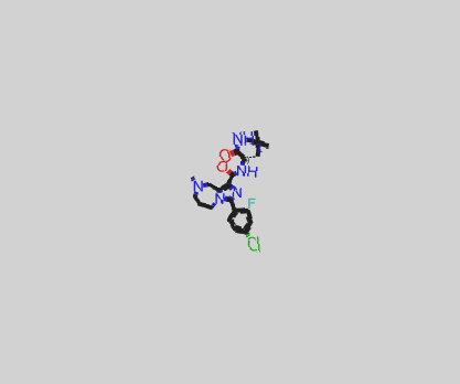 CN1CCCn2c(-c3ccc(Cl)cc3F)nc(C(=O)N[C@@H](CC(C)(C)C)C(N)=O)c2C1